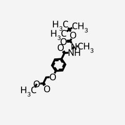 COC(=O)COc1ccc(C(=O)NN(C)C(=O)OC(C)(C)C)cc1